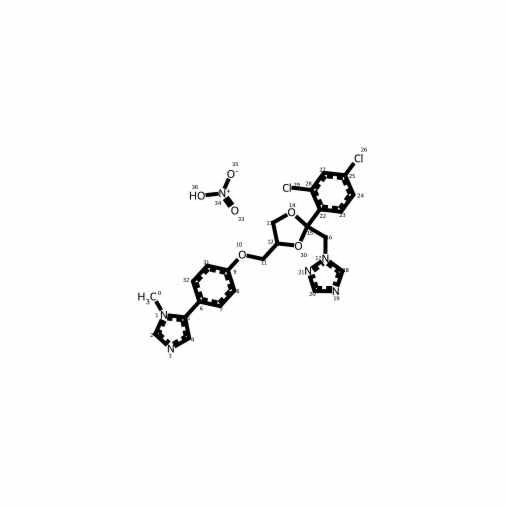 Cn1cncc1-c1ccc(OCC2COC(Cn3cncn3)(c3ccc(Cl)cc3Cl)O2)cc1.O=[N+]([O-])O